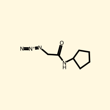 [N-]=[N+]=NCC(=O)NC1CCCC1